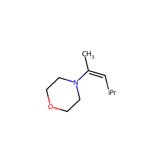 C/C(=C/C(C)C)N1CCOCC1